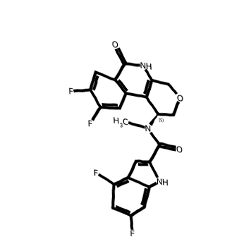 CN(C(=O)c1cc2c(F)cc(F)cc2[nH]1)[C@@H]1COCc2[nH]c(=O)c3cc(F)c(F)cc3c21